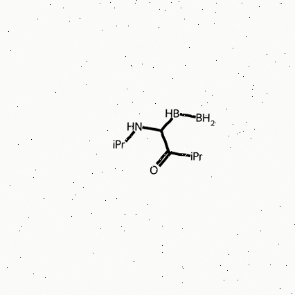 BBC(NC(C)C)C(=O)C(C)C